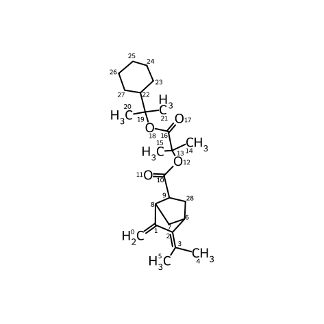 C=C1C(=C(C)C)C2CC1C(C(=O)OC(C)(C)C(=O)OC(C)(C)C1CCCCC1)C2